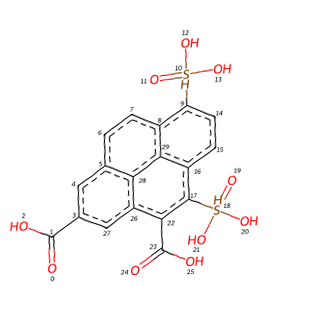 O=C(O)c1cc2ccc3c([SH](=O)(O)O)ccc4c([SH](=O)(O)O)c(C(=O)O)c(c1)c2c34